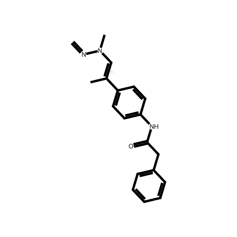 C=NN(C)/C=C(\C)c1ccc(NC(=O)Cc2ccccc2)cc1